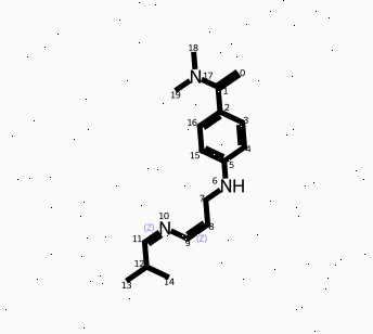 C=C(c1ccc(NC/C=C\N=C/C(C)C)cc1)N(C)C